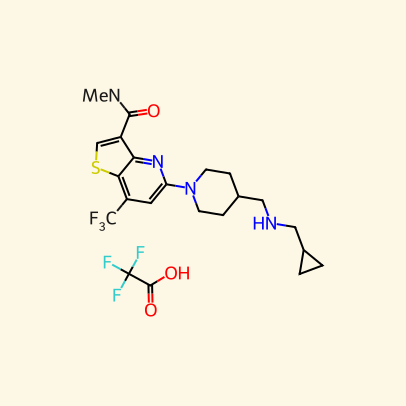 CNC(=O)c1csc2c(C(F)(F)F)cc(N3CCC(CNCC4CC4)CC3)nc12.O=C(O)C(F)(F)F